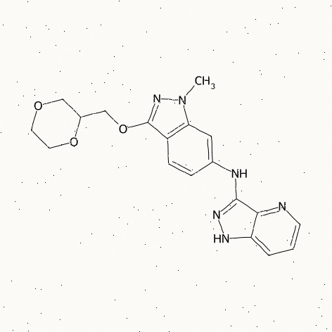 Cn1nc(OCC2COCCO2)c2ccc(Nc3n[nH]c4cccnc34)cc21